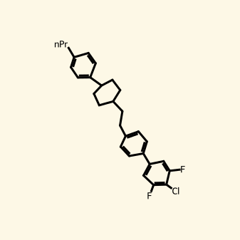 CCCc1ccc(C2CCC(CCc3ccc(-c4cc(F)c(Cl)c(F)c4)cc3)CC2)cc1